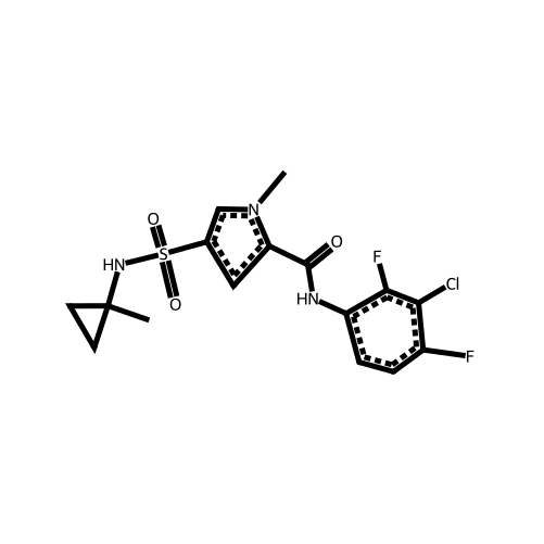 Cn1cc(S(=O)(=O)NC2(C)CC2)cc1C(=O)Nc1ccc(F)c(Cl)c1F